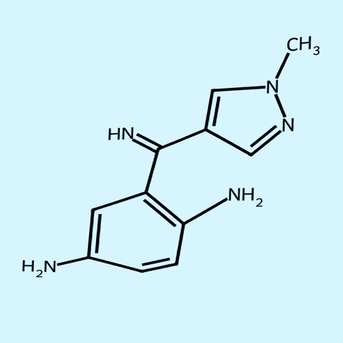 Cn1cc(C(=N)c2cc(N)ccc2N)cn1